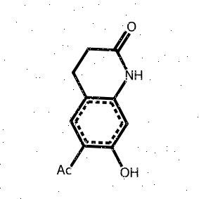 CC(=O)c1cc2c(cc1O)NC(=O)CC2